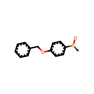 C[S+]([O-])c1ccc(OCc2ccccc2)cc1